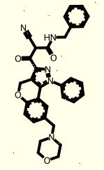 N#CC(C(=O)NCc1ccccc1)C(=O)c1nn(-c2ccccc2)c2c1COc1ccc(CN3CCOCC3)cc1-2